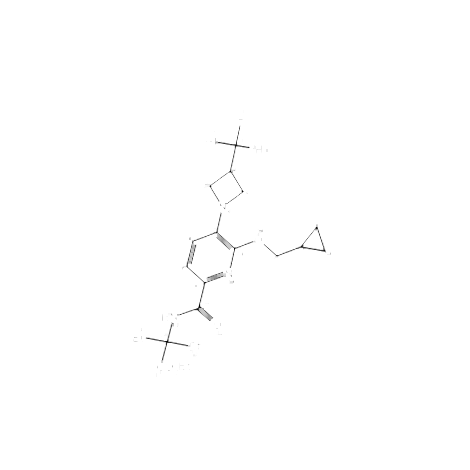 [2H]C([2H])(F)C1CN(c2ccc(C(=O)NC(CC)(CC)C(=O)OCC)nc2OCC2CC2)C1